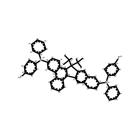 CC(C)(C)C1(C(C)(C)C)c2cc3cc(N(c4ccccc4)c4ccc(F)cc4)ccc3cc2-c2c1c1ccc(N(c3ccccc3)c3ccc(F)cc3)cc1c1ccccc21